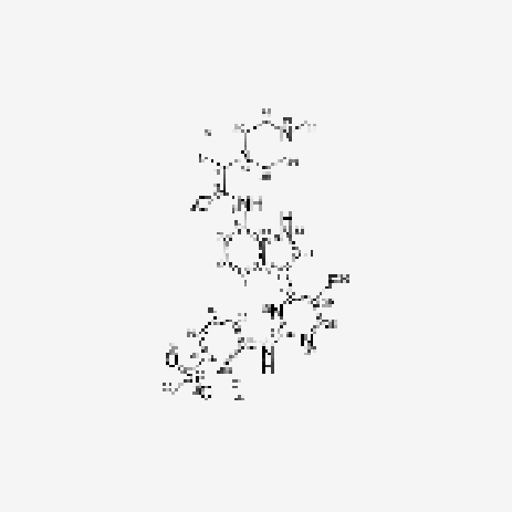 CCC(C(=O)Nc1cccc2c(-c3nc(Nc4cccc(S(C)(=O)=O)c4F)ncc3F)c[nH]c12)N1CCN(C)CC1